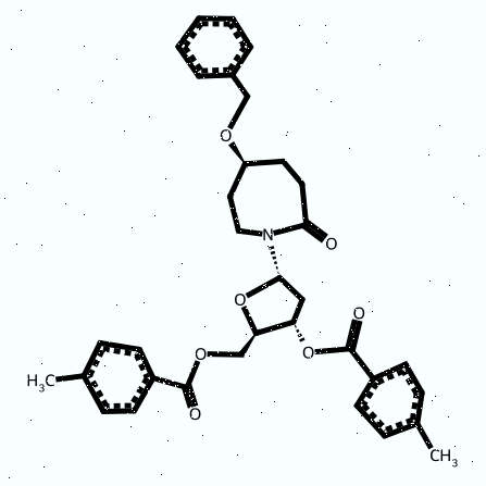 Cc1ccc(C(=O)OC[C@H]2O[C@H](N3CC[C@@H](OCc4ccccc4)CCC3=O)C[C@@H]2OC(=O)c2ccc(C)cc2)cc1